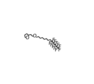 FC(F)(F)C(F)(F)C(F)(F)C(F)(F)C(F)(F)CCCCCCCCOCCC1CCCO1